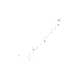 CSC1(CCC(=O)NCCOC(=O)NCCCCCCOP(C)(=O)O)CC1